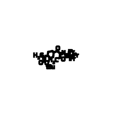 Cc1oc([Si](C(C)C)(C(C)C)C(C)C)nc1C(=O)C1CCC(N(C)C(=O)OC(C)(C)C)CC1